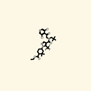 CCOC(=O)C1CCC(n2ncc(C(=O)N(CC(=O)c3c(Cl)cncc3Cl)CC(C)(C)C)c2C(F)(F)F)CC1(C)C